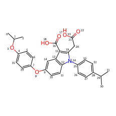 CC(C)Oc1ccc(Oc2ccc3c(c2)c(C(=O)O)c(CC(=O)O)n3-c2ccc(C(C)C)cc2)cc1